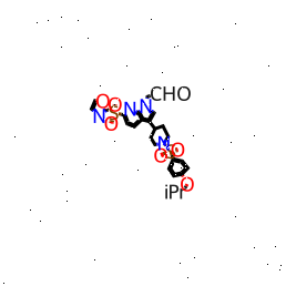 CC(C)Oc1ccc(S(=O)(=O)N2CCC(c3cn(CC=O)c4nc(S(=O)(=O)c5ncco5)ccc34)CC2)cc1